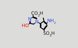 Cc1c(N)cc(S(=O)(=O)O)cc1N1C=C(C(=O)O)N=C(O)C1